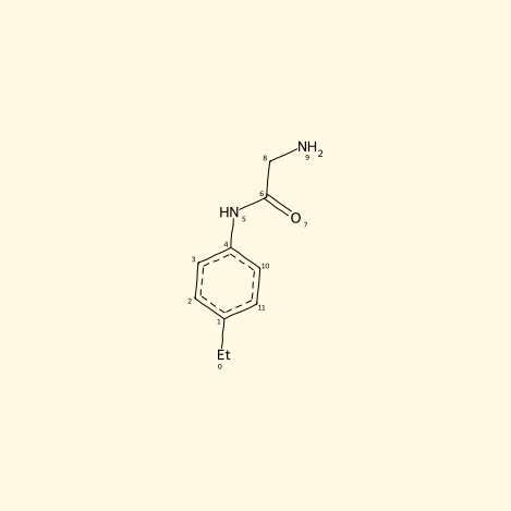 CCc1ccc(NC(=O)CN)cc1